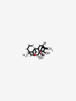 C=C1[C@H]2CC[C@]3(C(C2)[C@@]24CCC[C@@](C)(CO[C@H]2CO)C4C[C@H]3O)[C@H]1O